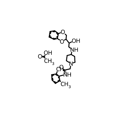 CC(=O)O.Cc1cccc(C)c1NC(=O)CN1CCC(NCC(O)C2COc3ccccc3O2)CC1